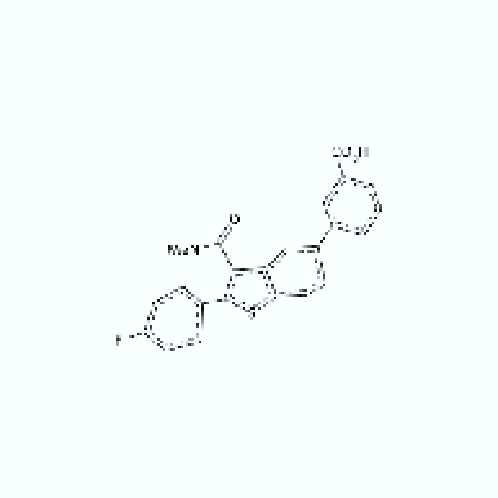 CNC(=O)c1c(-c2ccc(F)cc2)sc2ccc(-c3cccc(C(=O)O)c3)cc12